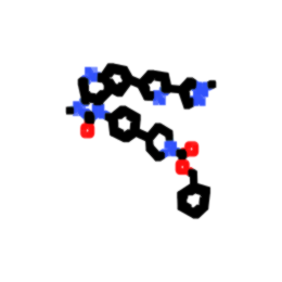 Cn1cc(-c2ccc(-c3ccc4ncc5c(c4c3)n(-c3ccc(C4CCN(C(=O)OCc6ccccc6)CC4)cc3)c(=O)n5C)cn2)cn1